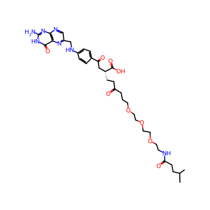 CC(C)CCC(=O)NCCOCCOCCOCCCC(=O)CC[C@H](CC(=O)c1ccc(NCc2cnc3nc(N)[nH]c(=O)c3n2)cc1)C(=O)O